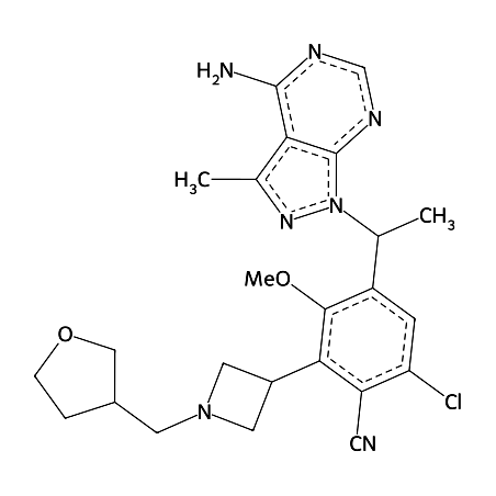 COc1c(C(C)n2nc(C)c3c(N)ncnc32)cc(Cl)c(C#N)c1C1CN(CC2CCOC2)C1